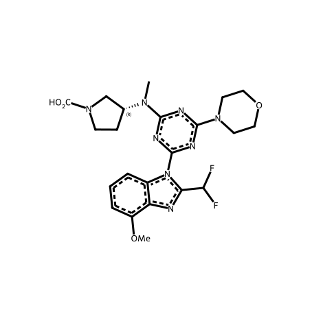 COc1cccc2c1nc(C(F)F)n2-c1nc(N2CCOCC2)nc(N(C)[C@@H]2CCN(C(=O)O)C2)n1